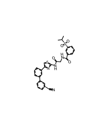 CC(C)S(=O)(=O)c1cccc(C(=O)NCC(=O)Nc2nc(-c3cccc(-c4cccc(C#N)c4)c3)cs2)c1